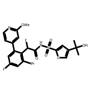 COc1cc(-c2cc(F)cc(C(C)C)c2C(F)C(=O)NS(=O)(=O)c2cc(C(C)(C)O)co2)ccn1